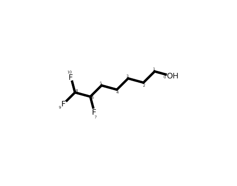 OCCCCCC(F)C(F)F